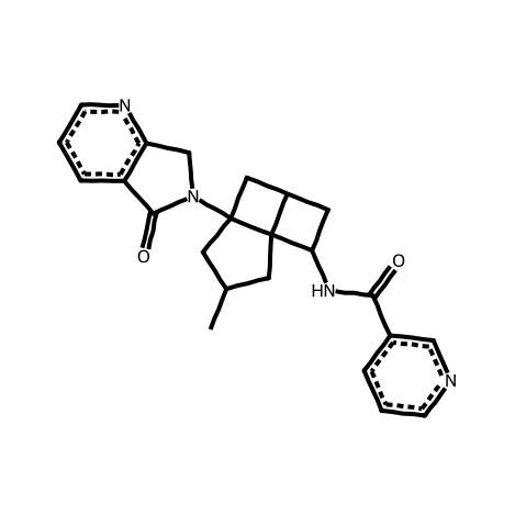 CC1CC23C(CC2NC(=O)c2cccnc2)CC3(N2Cc3ncccc3C2=O)C1